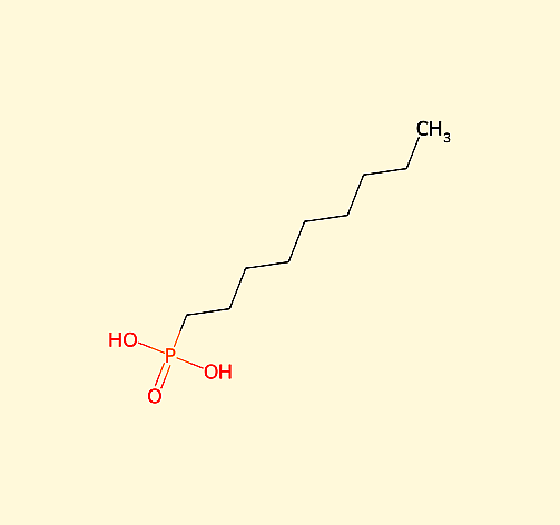 CCCCCCCCCP(=O)(O)O